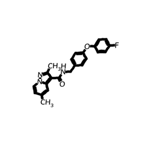 Cc1ccn2nc(C)c(C(=O)NCc3ccc(Oc4ccc(F)cc4)cc3)c2c1